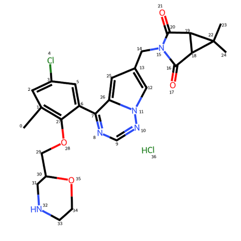 Cc1cc(Cl)cc(-c2ncnn3cc(CN4C(=O)C5C(C4=O)C5(C)C)cc23)c1OCC1CNCCO1.Cl